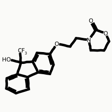 O=C1OCCCN1CCOc1ccc2c(c1)C(O)(C(F)(F)F)c1ccccc1-2